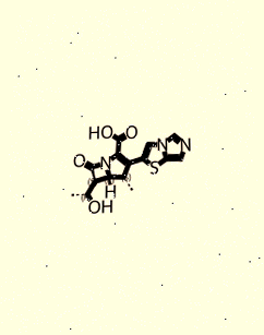 C[C@@H](O)[C@H]1C(=O)N2C(C(=O)O)=C(c3cn4cncc4s3)[C@H](C)[C@H]12